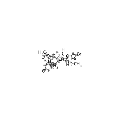 CC[C@@H](NC(=O)C[C@@H](C)[C@H]1CC[C@H]2[C@@H]3[C@H](OC(C)=O)CC4=CC(=O)CC[C@]4(C)[C@H]3CC[C@]12C)c1ccc(Br)s1